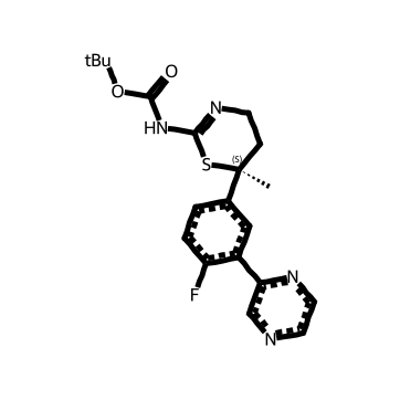 CC(C)(C)OC(=O)NC1=NCC[C@@](C)(c2ccc(F)c(-c3cnccn3)c2)S1